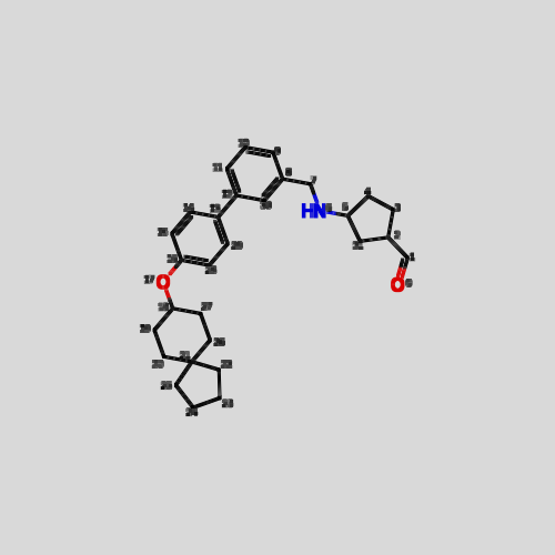 O=CC1CCC(NCc2cccc(-c3ccc(OC4CCC5(CCCC5)CC4)cc3)c2)C1